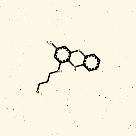 NCCCNc1cc(C(F)(F)F)cc2c1Nc1ccccc1S2